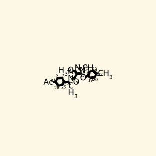 CC(=O)c1ccc([C@H](C)NC(=O)c2c(C)nn(C)c2Oc2ccc(C)cc2)cc1